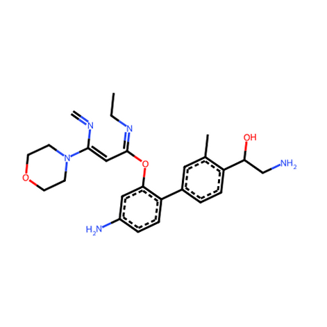 C=N/C(=C\C(=N/CC)Oc1cc(N)ccc1-c1ccc(C(O)CN)c(C)c1)N1CCOCC1